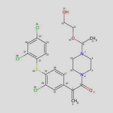 C=C(C(=O)N1CCN(C(C)OCCO)CC1)c1ccc(Sc2ccc(Cl)cc2Cl)c(Cl)c1